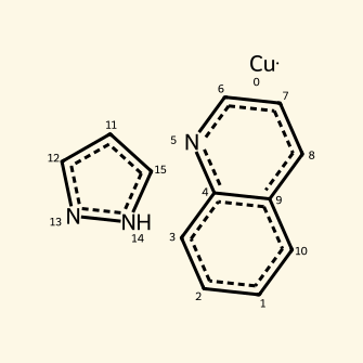 [Cu].c1ccc2ncccc2c1.c1cn[nH]c1